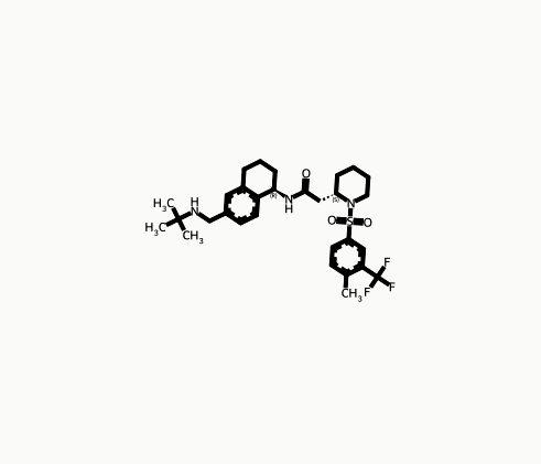 Cc1ccc(S(=O)(=O)N2CCCC[C@H]2CC(=O)N[C@@H]2CCCc3cc(CNC(C)(C)C)ccc32)cc1C(F)(F)F